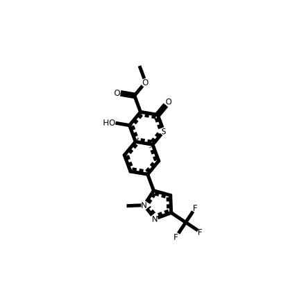 COC(=O)c1c(O)c2ccc(-c3cc(C(F)(F)F)nn3C)cc2sc1=O